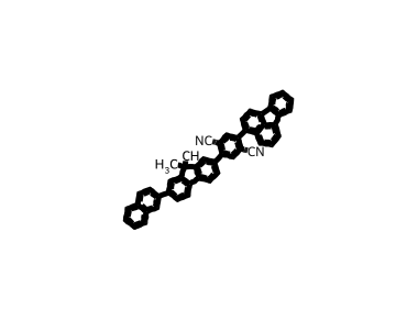 CC1(C)c2cc(-c3ccc4ccccc4c3)ccc2-c2ccc(-c3cc(C#N)c(-c4ccc5c6c(cccc46)-c4ccccc4-5)cc3C#N)cc21